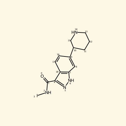 O=C(NI)c1n[nH]c2cc(C3CCCNC3)ccc12